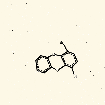 Brc1ccc(Br)c2c1Oc1ccccc1O2